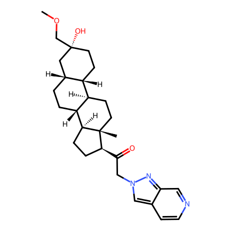 COC[C@@]1(O)CC[C@H]2[C@H](CC[C@@H]3[C@@H]2CC[C@]2(C)[C@@H](C(=O)Cn4cc5ccncc5n4)CC[C@@H]32)C1